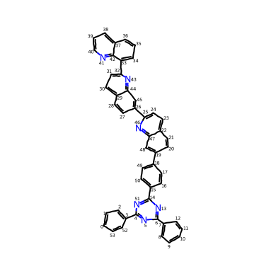 c1ccc(-c2nc(-c3ccccc3)nc(-c3ccc(-c4ccc5ccc(-c6ccc7ccc(-c8cccc9cccnc89)nc7c6)nc5c4)cc3)n2)cc1